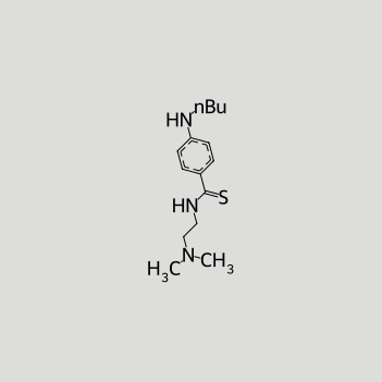 CCCCNc1ccc(C(=S)NCCN(C)C)cc1